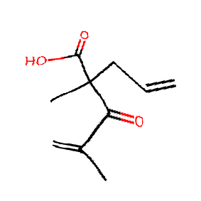 C=CCC(C)(C(=O)O)C(=O)C(=C)C